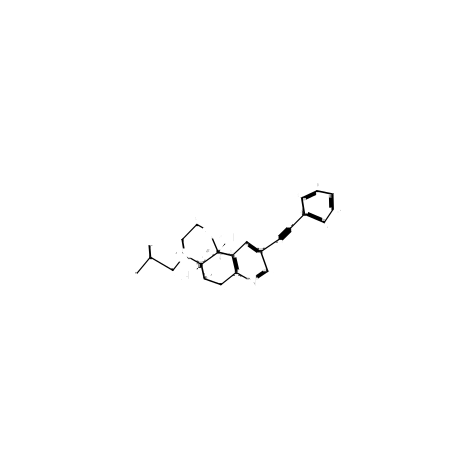 CC(C)CN1CCO[C@@H]2c3cc(C#Cc4ccccc4)cnc3CC[C@@H]21